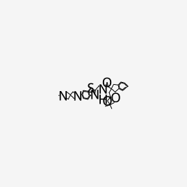 CN1CC2(C1)CN(c1ccc3nc(CNC(=O)C4(CC(=O)OC(C)(C)C)Cc5ccccc5C4)sc3c1)C2